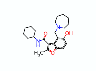 Cc1oc2ccc(O)c(CN3CCCCCC3)c2c1C(=O)NC1CCCCC1